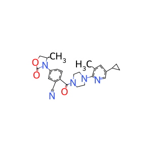 Cc1cc(C2CC2)cnc1N1CCN(C(=O)c2ccc(N3C(=O)OC[C@H]3C)cc2C#N)CC1